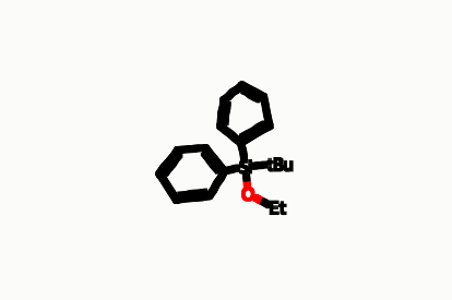 [CH2]CO[Si](c1ccccc1)(c1ccccc1)C(C)(C)C